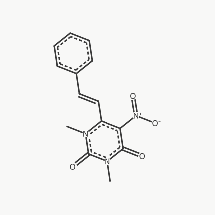 Cn1c(C=Cc2ccccc2)c([N+](=O)[O-])c(=O)n(C)c1=O